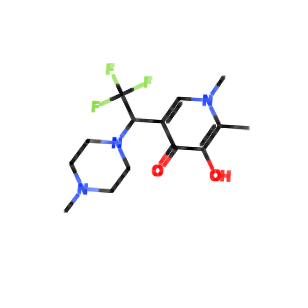 Cc1c(O)c(=O)c(C(N2CCN(C)CC2)C(F)(F)F)cn1C